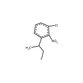 [CH2]C(CF)c1cccc(Cl)c1[N+](=O)[O-]